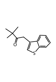 CC(C)(C)C(=O)Cc1csc2ccccc12